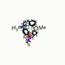 COc1ccc(CN(c2cscn2)S(=O)(=O)c2cc(Cl)c(N(C)[C@H]3CCN(Cc4ccccc4)C3)cc2F)cc1